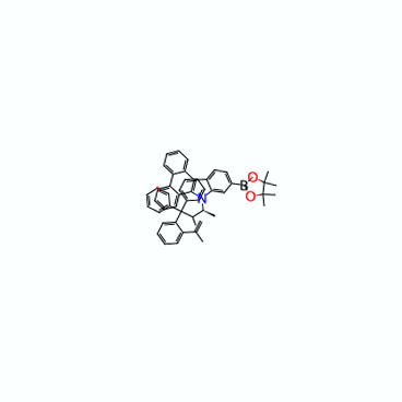 C=C(C)c1ccccc1C(c1ccccc1)(c1ccccc1)C(C)[C@H](C)n1c2cc(B3OC(C)(C)C(C)(C)O3)ccc2c2c3ccccc3c3ccccc3c21